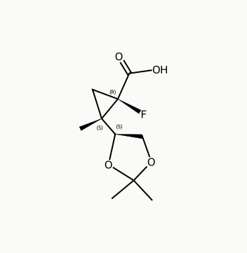 CC1(C)OC[C@H]([C@]2(C)C[C@]2(F)C(=O)O)O1